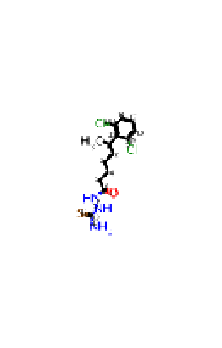 CC(CCCCC(=O)NNC(N)=S)c1c(Cl)cccc1Cl